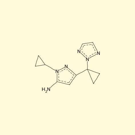 Nc1cc(C2(n3nccn3)CC2)nn1C1CC1